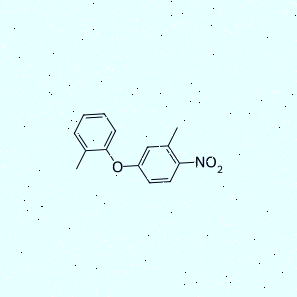 Cc1ccccc1Oc1ccc([N+](=O)[O-])c(C)c1